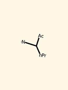 CCCC([N])C(C)=O